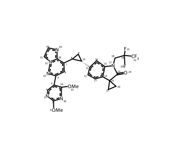 COc1ncc(-c2cc(C3C[C@@H]3c3ccc4c(c3)N(CC(F)(F)C(F)(F)F)C(=O)C43CC3)c3nccn3n2)c(OC)n1